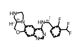 C[C@@H](Nc1ncnc2cc3c(cc12)N1CCNC[C@@H]1CO3)c1cccc(C(F)F)c1F